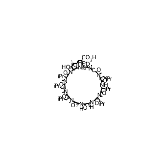 CC[C@@H]1NC(=O)[C@H]([C@H](O)[C@H](C)CCCC(=O)O)N(C)C(=O)C(C(C)C)N(C)C(=O)[C@H](CC(C)C)N(C)C(=O)[C@H](CC(C)C)N(C)C(=O)[C@@H](C)NC(=O)[C@H](C)NC(=O)[C@H](CC(C)C)N(C)C(=O)C(C(C)C)NC(=O)[C@H](CC(C)C)N(C)C(=O)CN(C)C1=O